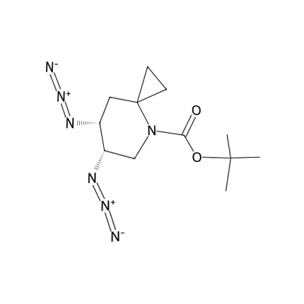 CC(C)(C)OC(=O)N1C[C@H](N=[N+]=[N-])[C@H](N=[N+]=[N-])CC12CC2